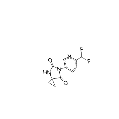 O=C1NC2(CC2)C(=O)N1c1ccc(C(F)F)nc1